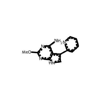 COc1nc(N)c2c(-c3ccccn3)c[nH]c2n1